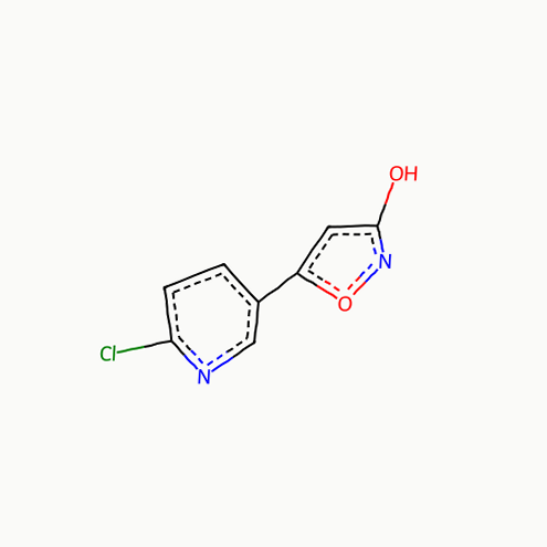 Oc1cc(-c2ccc(Cl)nc2)on1